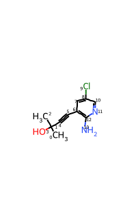 CC(C)(O)C#Cc1cc(Cl)cnc1N